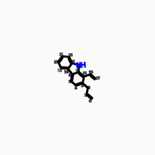 C=CCc1ccc2c([nH]c3ccccc32)c1C=C